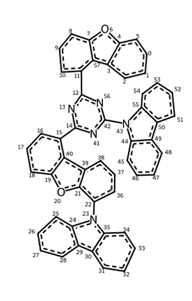 c1ccc2c(c1)oc1cccc(-c3nc(-c4cccc5oc6c(-n7c8ccccc8c8ccccc87)cccc6c45)nc(-n4c5ccccc5c5ccccc54)n3)c12